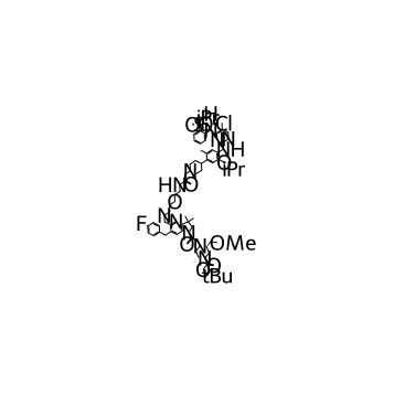 COC[C@H]1CN(C(=O)OC(C)(C)C)[C@H](C)CN1CC(=O)N1CC(C)(C)c2nc(CN(C)CCOCCNC(=O)CN3CCC(c4cc(OC(C)C)c(Nc5ncc(Cl)c(Nc6ccccc6S(=O)(=O)C(C)C)n5)cc4C)CC3)c(Cc3ccc(F)cc3)cc21